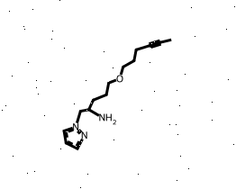 CC#CCCCOCCCC(N)Cn1cccn1